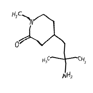 CN1CCC(CC(C)(C)N)CC1=O